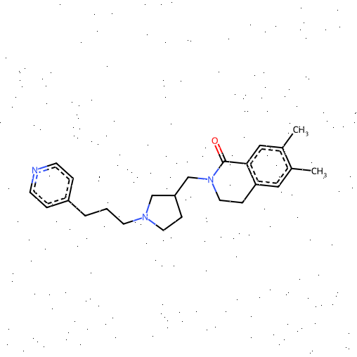 Cc1cc2c(cc1C)C(=O)N(CC1CCN(CCCc3ccncc3)C1)CC2